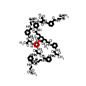 CC(=O)/C(=N/Nc1cccc(C(=O)NCCS(N)(=O)=O)c1)C(=O)Nc1cccc(NC(=O)C(C)CC(CC(CC(C)C(=O)Nc2cccc(NC(=O)/C(=N\Nc3cccc(C(=O)NCCS(N)(=O)=O)c3)C(C)=O)c2)C(=O)Nc2cccc(NC(=O)/C(=N\Nc3cccc(C(=O)NCCS(N)(=O)=O)c3)C(C)=O)c2)C(=O)Nc2cccc(NC(=O)/C(=N\Nc3cccc(C(=O)NCCS(N)(=O)=O)c3)C(C)=O)c2)c1